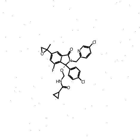 CC1(c2cc(F)c3c(c2)C(=O)N(Cc2ccc(Cl)cn2)[C@@]3(OCNC(=O)C2CC2)c2ccc(Cl)cc2)CO1